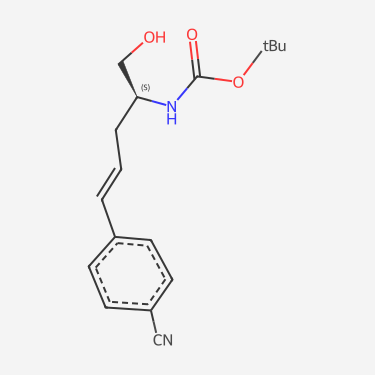 CC(C)(C)OC(=O)N[C@H](CO)CC=Cc1ccc(C#N)cc1